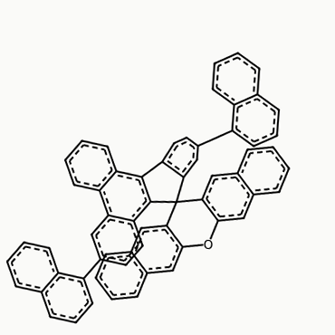 c1ccc2cc3c(cc2c1)Oc1cc2ccccc2cc1C31c2cc(-c3cccc4ccccc34)ccc2-c2c1c1ccc(-c3cccc4ccccc34)cc1c1ccccc21